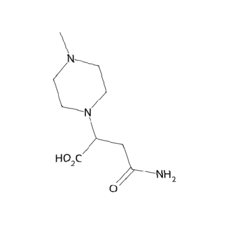 CN1CCN(C(CC(N)=O)C(=O)O)CC1